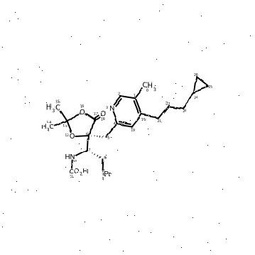 Cc1cnc(C[C@]2([C@H](CC(C)C)NC(=O)O)OC(C)(C)OC2=O)cc1CCCC1CC1